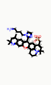 CC1=CC(C)(C)N=c2cc3c(cc21)=C(c1nccn1CCCCN)c1cc2c4c(c1O3)CCCN4C(C)(C)C=C2CS(=O)(=O)O